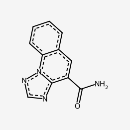 NC(=O)c1cc2ccccc2n2ncnc12